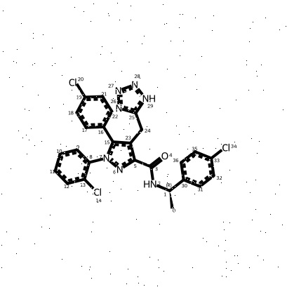 C[C@@H](NC(=O)c1nn(-c2ccccc2Cl)c(-c2ccc(Cl)cc2)c1Cc1nnn[nH]1)c1ccc(Cl)cc1